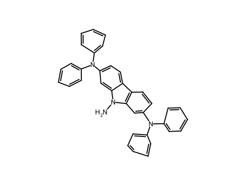 Nn1c2cc(N(c3ccccc3)c3ccccc3)ccc2c2ccc(N(c3ccccc3)c3ccccc3)cc21